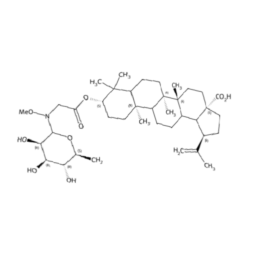 C=C(C)[C@@H]1CC[C@]2(C(=O)O)CC[C@]3(C)C(CCC4[C@@]5(C)CC[C@H](OC(=O)CN(OC)C6O[C@@H](C)[C@H](O)[C@@H](O)[C@H]6O)C(C)(C)C5CC[C@]43C)C12